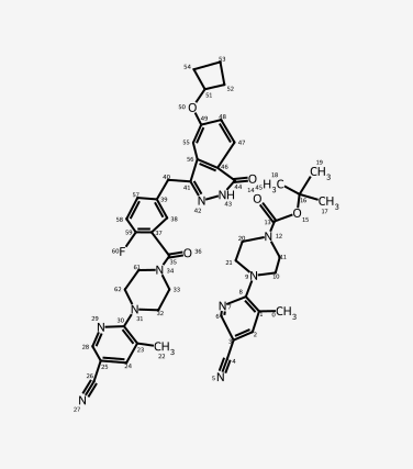 Cc1cc(C#N)cnc1N1CCN(C(=O)OC(C)(C)C)CC1.Cc1cc(C#N)cnc1N1CCN(C(=O)c2cc(Cc3n[nH]c(=O)c4ccc(OC5CCC5)cc34)ccc2F)CC1